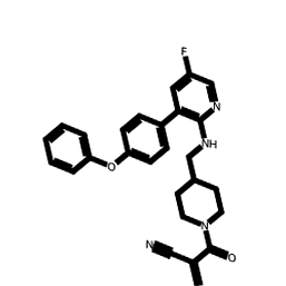 C=C(C#N)C(=O)N1CCC(CNc2ncc(F)cc2-c2ccc(Oc3ccccc3)cc2)CC1